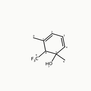 CC1=CC=CC(C)(O)C1C(F)(F)F